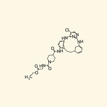 CCOC(=O)CNC(=O)N1CCC(C(=O)Nc2ccc3cc2CCC2C=CC=C(C2)Nc2ncc(Cl)c(n2)N3)CC1